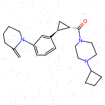 C=C1CCCCN1c1cccc([C@H]2C[C@@H]2C(=O)N2CCN(C3CCC3)CC2)c1